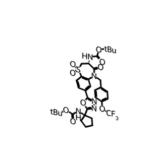 CC(C)(C)OC(=O)N[C@H]1CS(=O)(=O)c2ccc(-c3nnc(C4(NC(=O)OC(C)(C)C)CCCC4)o3)cc2N(Cc2ccc(OC(F)(F)F)cc2)C1=O